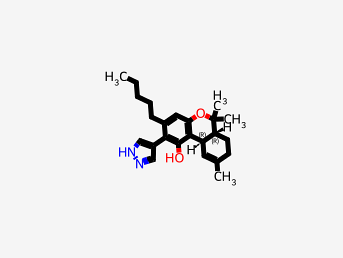 CCCCCc1cc2c(c(O)c1-c1cn[nH]c1)[C@@H]1C=C(C)CC[C@H]1C(C)(C)O2